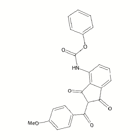 COc1ccc(C(=O)C2C(=O)c3cccc(NC(=O)Oc4ccccc4)c3C2=O)cc1